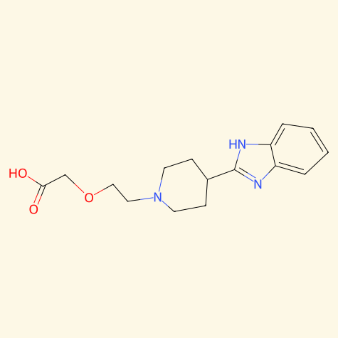 O=C(O)COCCN1CCC(c2nc3ccccc3[nH]2)CC1